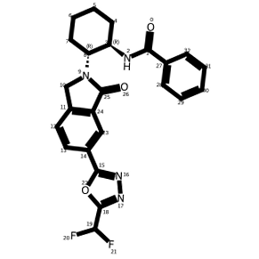 O=C(N[C@@H]1CCCC[C@H]1N1Cc2ccc(-c3nnc(C(F)F)o3)cc2C1=O)c1ccccc1